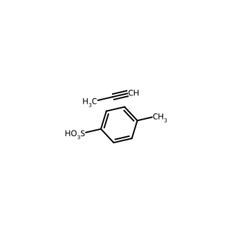 C#CC.Cc1ccc(S(=O)(=O)O)cc1